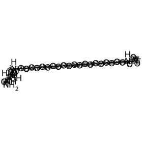 CC(C)C(NC(=O)CCOCCOCCOCCOCCOCCOCCOCCOCCOCCOCCOCCOCCOCCOCCOCCOCCOCCOCCOCCOCCNC(=O)CCN1C(=O)C=CC1=O)C(=O)N[C@@H](CCCNC(N)=O)C(=O)O